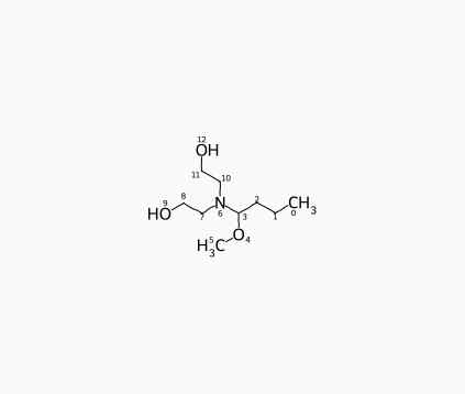 CCCC(OC)N(CCO)CCO